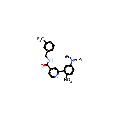 CCCN(CCC)c1ccc([N+](=O)[O-])c(-c2cc(C(=O)NCc3cccc(C(F)(F)F)c3)ccn2)c1